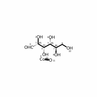 O=C[C@H](O)[C@@H](O)[C@H](O)[C@H](O)CO.[O]=[Co]